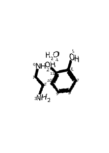 NCCN.O.Oc1ccccc1O